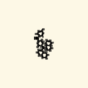 Cc1ccc(NC2=CC(C)C(N(c3cccc4ccccc34)c3cccc4ccccc34)C=C2)cc1